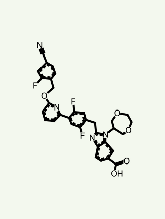 N#Cc1ccc(COc2cccc(-c3cc(F)c(Cc4nc5ccc(C(=O)O)cc5n4C4COCCOC4)cc3F)n2)c(F)c1